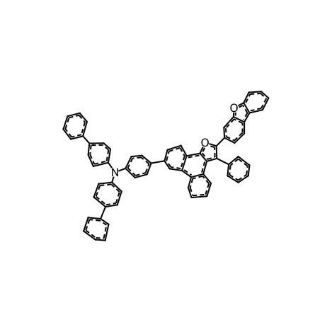 c1ccc(-c2ccc(N(c3ccc(-c4ccccc4)cc3)c3ccc(-c4ccc5c(c4)c4ccccc4c4c(-c6ccccc6)c(-c6ccc7c(c6)oc6ccccc67)oc54)cc3)cc2)cc1